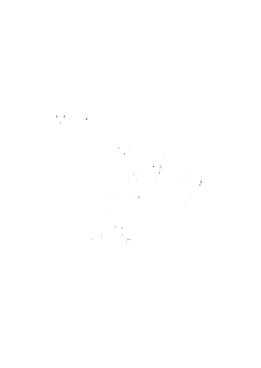 COCCCNCC(=O)N1CCc2sccc2C1COc1ccc(Cl)c(C)c1